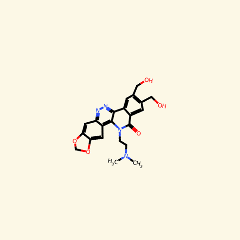 CN(C)CCn1c(=O)c2cc(CO)c(CO)cc2c2nnc3cc4c(cc3c21)OCO4